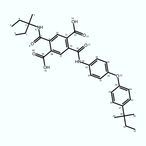 CCC(C)(CC)NC(=O)c1cc(C(=O)O)c(C(=O)Nc2ccc(Oc3ccc(C(C)(C)CC)cc3)cc2)cc1C(=O)O